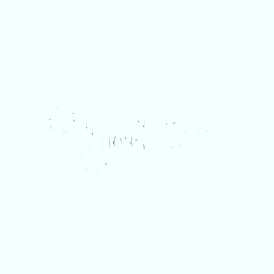 N=S(=O)(NC1CCCC(N2c3ccccc3Oc3ccccc32)C1O)c1ccc(OC(F)(F)F)cc1